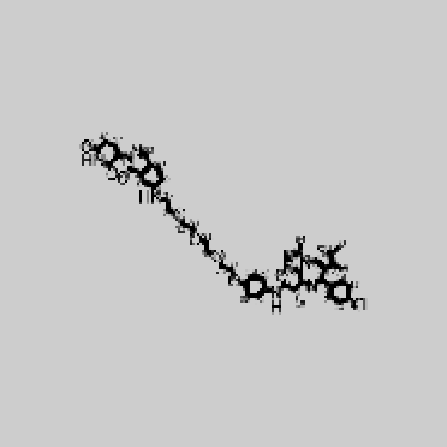 Cc1sc2c(c1C)C(c1ccc(Cl)cc1)=N[C@@H]([C@H](C)C(=O)Nc1ccc(OCCOCCOCCOCCNc3ccc4cnn(C5CCC(=O)NC5=O)c(=O)c4c3)cc1)c1nnc(C)n1-2